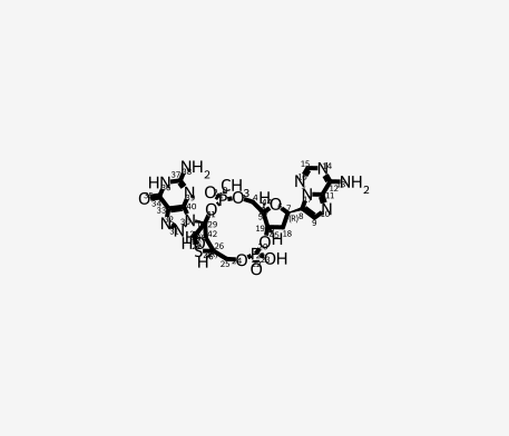 CP1(=O)OC[C@H]2O[C@@H](c3cnc4c(N)ncnn34)C[C@@H]2OP(=O)(O)OC[C@H]2SC[C@](n3nnc4c(=O)[nH]c(N)nc43)(O1)[C@@H]2O